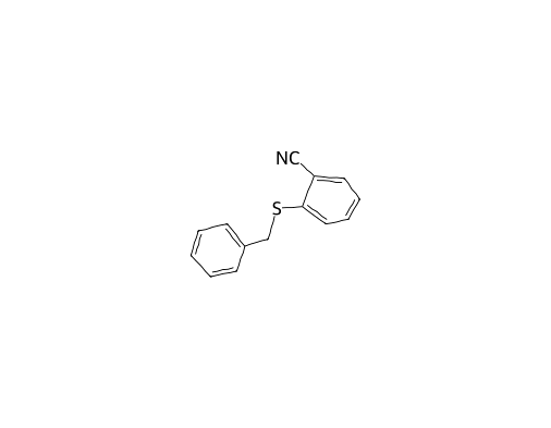 N#Cc1ccccc1SCc1ccccc1